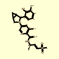 C[C@H](/C=C/S(C)(=O)=O)NC(=O)c1ncc(N2CC3CC3C2c2cccc(F)c2F)cc1F